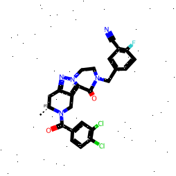 C[C@@H]1Cc2nn3c(c2CN1C(=O)c1ccc(Cl)c(Cl)c1)C(=O)N(Cc1ccc(F)c(C#N)c1)CC3